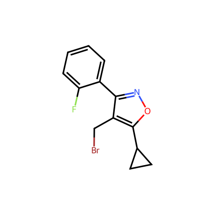 Fc1ccccc1-c1noc(C2CC2)c1CBr